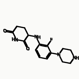 O=C1CCC(Nc2cccc(N3CCNCC3)c2F)C(=O)N1